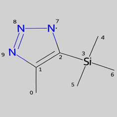 CC1=C([Si](C)(C)C)[N]N=N1